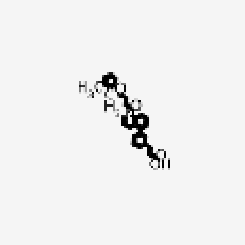 Cc1cccc(OCCCC(=O)N2CCCc3c(-c4cccc(CCC(=O)O)c4)cccc32)c1C